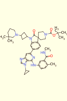 CNC(=O)c1cc(Nc2nc(-c3ccc4c(c3)N(C3CC(N5CCCC(C)(C)C5)C3)C(=O)C43CCN(C(=O)OC(C)(C)C)CC3)cc3ncn(C4CC4)c23)ccc1C